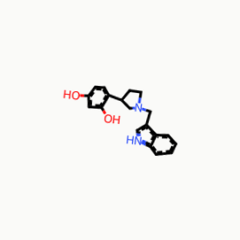 Oc1ccc(C2CCN(Cc3c[nH]c4ccccc34)C2)c(O)c1